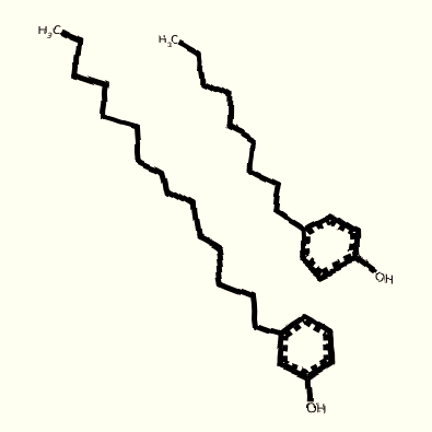 CCCCCCCCCCCCCCCc1cccc(O)c1.CCCCCCCCCc1ccc(O)cc1